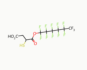 O=C(O)CC(S)C(=O)OC(F)(F)C(F)(F)C(F)(F)C(F)(F)C(F)(F)C(F)(F)F